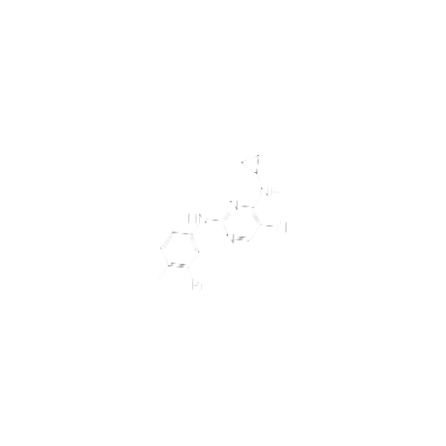 Cc1ccc(Nc2ncc(Cl)c(NC3CC3)n2)cc1Br